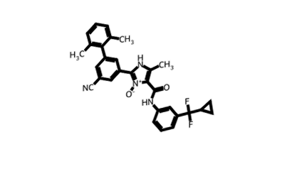 Cc1cccc(C)c1-c1cc(C#N)cc(-c2[nH]c(C)c(C(=O)Nc3cccc(C(F)(F)C4CC4)c3)[n+]2[O-])c1